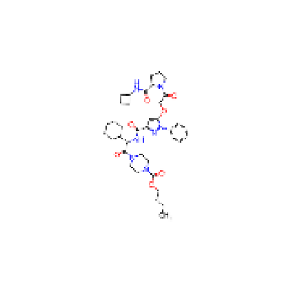 CCCCOC(=O)N1CCN(C(=O)C(NC(=O)c2cc(OCC(=O)N3CCCC3C(=O)NC3CCC3)n(-c3ccccc3)n2)C2CCCCC2)CC1